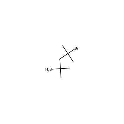 BC(C)(C)CC(C)(C)Br